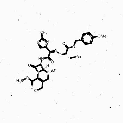 BOC(=O)C1=C(CCl)C[S+]([O-])[C@@H]2[C@H](NC(=O)/C(=N\O[C@@H](CC(C)(C)C)C(=O)OCc3ccc(OC)cc3)c3csc(C)n3)C(=O)N12